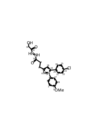 COc1ccc(-n2nc(CCC(=O)NNC(=O)CO)cc2-c2ccc(Cl)cc2)cc1